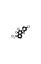 O=C1C(=O)c2c(nc3cc(Cl)ccn23)-c2cccc([N+](=O)[O-])c21